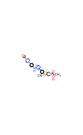 C[C@H](O)C(=O)N1CCC(Oc2ccc(-c3ncnc(Nc4ccc(N5CCN(C6COC6)CC5)cc4)n3)cc2C#N)C(F)(F)C1